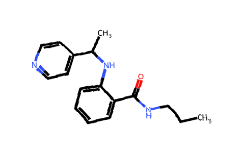 CCCNC(=O)c1ccccc1NC(C)c1ccncc1